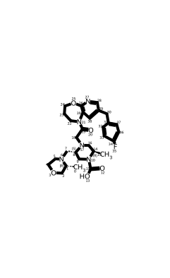 C[C@@H]1COCCN1C[C@H]1CN(C(=O)O)[C@H](C)CN1CC(=O)N1CCCOc2ncc(Cc3ccc(F)cc3)cc21